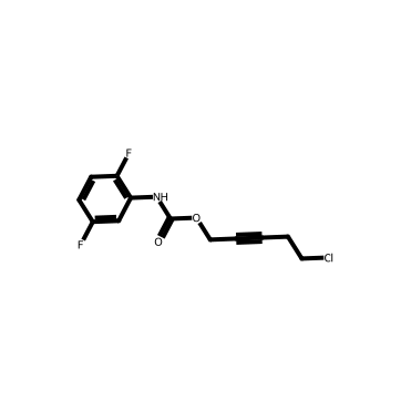 O=C(Nc1cc(F)ccc1F)OCC#CCCCl